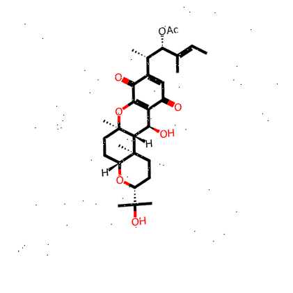 C/C=C(\C)[C@@H](OC(C)=O)[C@@H](C)C1=CC(=O)C2=C(O[C@]3(C)CC[C@H]4O[C@@H](C(C)(C)O)CC[C@]4(C)[C@H]3[C@@H]2O)C1=O